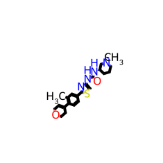 Cc1cc(-c2nc(NC(=O)N[C@H]3CCCN(C)C3)cs2)ccc1C1=CCOCC1